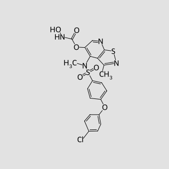 Cc1nsc2ncc(OC(=O)NO)c(N(C)S(=O)(=O)c3ccc(Oc4ccc(Cl)cc4)cc3)c12